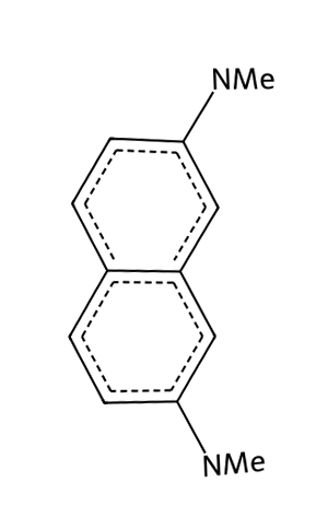 CNc1ccc2ccc(NC)cc2c1